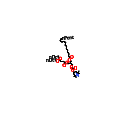 CCCCC/C=C\C/C=C\CCCCCCCC(=O)OCC(COC(=O)CCC(OCCCCCCCC)OCCCCCCCC)COC(=O)OC1CC(C)(C)N(C)C(C)(C)C1